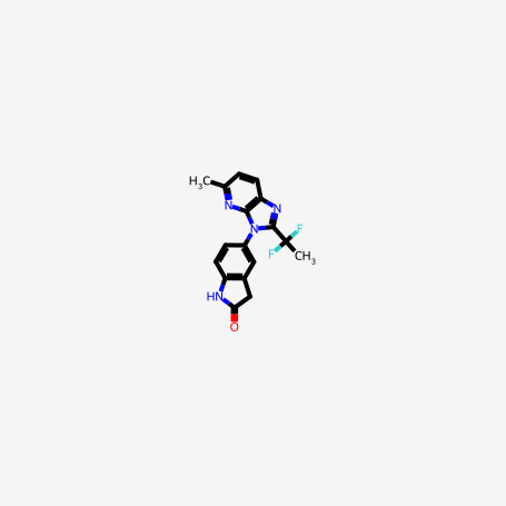 Cc1ccc2nc(C(C)(F)F)n(-c3ccc4c(c3)CC(=O)N4)c2n1